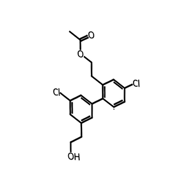 CC(=O)OCCc1cc(Cl)c[c]c1-c1cc(Cl)cc(CCO)c1